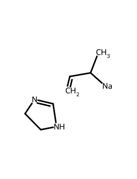 C1=NCCN1.C=C[CH](C)[Na]